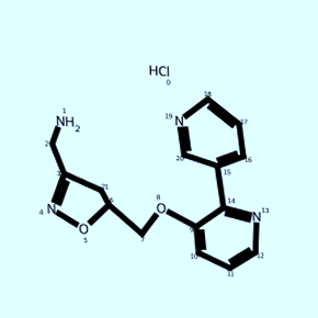 Cl.NCC1=NOC(COc2cccnc2-c2cccnc2)C1